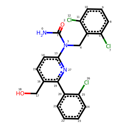 NC(=O)N(Cc1c(Cl)cccc1Cl)c1ccc(CO)c(-c2ccccc2Cl)n1